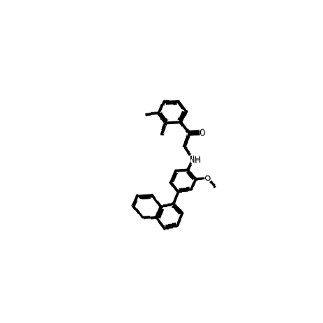 COc1cc(-c2cccc3c2C=CCC3)ccc1NCC(=O)c1cccc(C)c1C